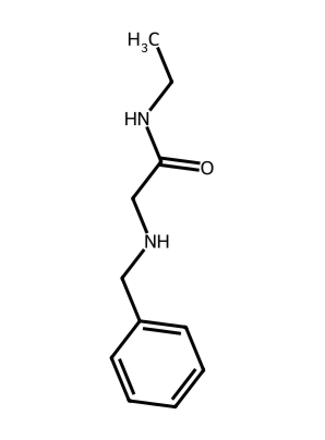 CCNC(=O)CNCc1ccccc1